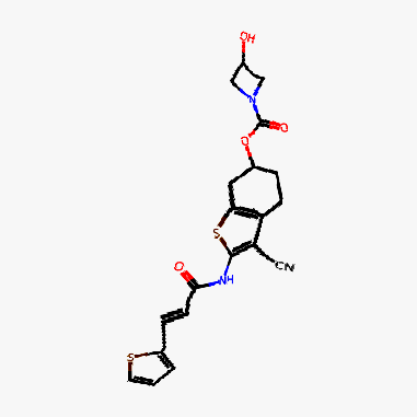 N#Cc1c(NC(=O)C=Cc2cccs2)sc2c1CCC(OC(=O)N1CC(O)C1)C2